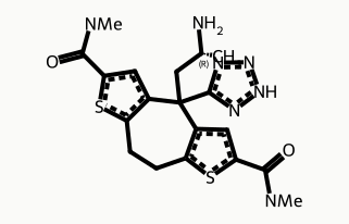 CNC(=O)c1cc2c(s1)CCc1sc(C(=O)NC)cc1C2(C[C@@H](C)N)c1nn[nH]n1